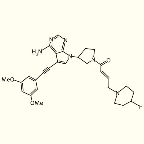 COc1cc(C#Cc2cn(C3CCN(C(=O)C=CCN4CCC(F)CC4)C3)c3ncnc(N)c23)cc(OC)c1